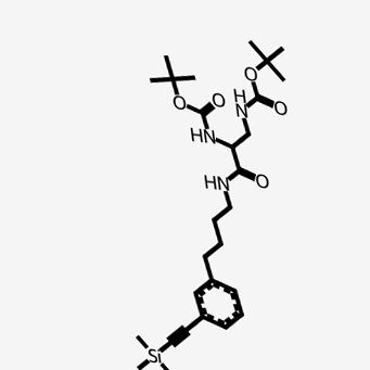 CC(C)(C)OC(=O)NCC(NC(=O)OC(C)(C)C)C(=O)NCCCCc1cccc(C#C[Si](C)(C)C)c1